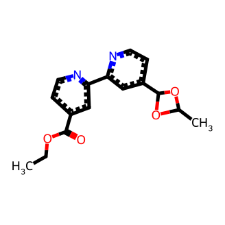 CCOC(=O)c1ccnc(-c2cc(C3OC(C)O3)ccn2)c1